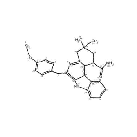 COc1ccc(Cc2nc3c(c4c2[nH]c2ccccc24)C(C(N)=O)CC(C)(C)C3)cc1